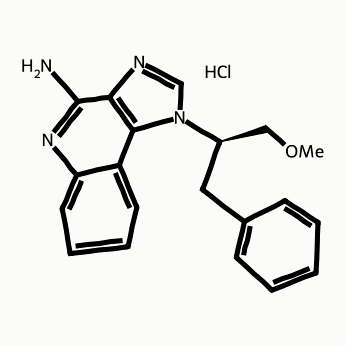 COC[C@@H](Cc1ccccc1)n1cnc2c(N)nc3ccccc3c21.Cl